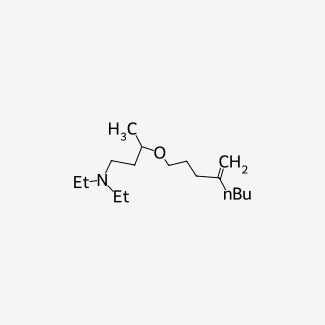 C=C(CCCC)CCCOC(C)CCN(CC)CC